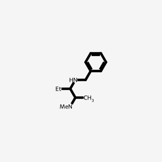 CCC(NCc1ccccc1)C(C)NC